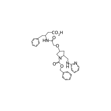 O=C(O)CC(Cc1ccccc1)NC(=O)COC1CC(CNc2ccccn2)N(C(=O)OCc2ccccc2)C1